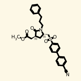 COC(=O)C[C@@H]1C[C@@H](CS(=O)(=O)c2ccc(-c3ccc(C#N)cc3)cc2)N(CCCc2ccccc2)C1=O